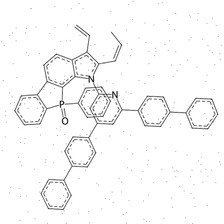 C=Cc1c(/C=C\C)n(-c2cc(-c3ccc(-c4ccccc4)cc3)cc(-c3ccc(-c4ccccc4)cc3)n2)c2c3c(ccc12)-c1ccccc1P3(=O)c1ccccc1